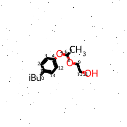 CCC(C)c1ccc(OC(C)OCCO)cc1